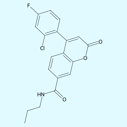 CCCNC(=O)c1ccc2c(-c3ccc(F)cc3Cl)cc(=O)oc2c1